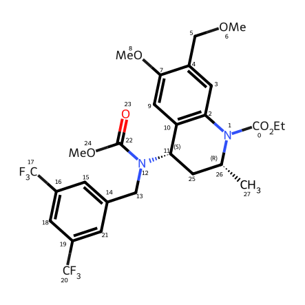 CCOC(=O)N1c2cc(COC)c(OC)cc2[C@@H](N(Cc2cc(C(F)(F)F)cc(C(F)(F)F)c2)C(=O)OC)C[C@H]1C